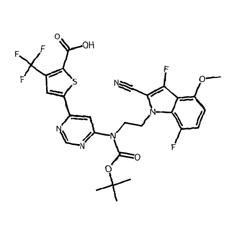 COc1ccc(F)c2c1c(F)c(C#N)n2CCN(C(=O)OC(C)(C)C)c1cc(-c2cc(C(F)(F)F)c(C(=O)O)s2)ncn1